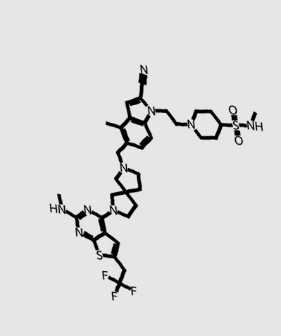 CNc1nc(N2CCC3(CCN(Cc4ccc5c(cc(C#N)n5CCN5CCC(S(=O)(=O)NC)CC5)c4C)C3)C2)c2cc(CC(F)(F)F)sc2n1